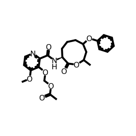 COc1ccnc(C(=O)N[C@H]2CCCC(Oc3ccccc3)CC(C)OC2=O)c1OCOC(C)=O